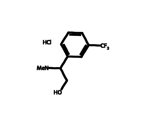 CNC(CO)c1cccc(C(F)(F)F)c1.Cl